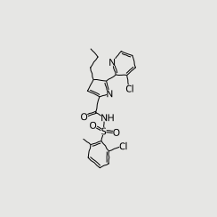 CCCC1C=C(C(=O)NS(=O)(=O)c2c(C)cccc2Cl)N=C1c1ncccc1Cl